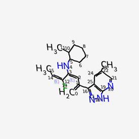 C=C(/C=C(NC1CCCCC1C)\C(F)=C/C)c1n[nH]c2ncc(C)cc12